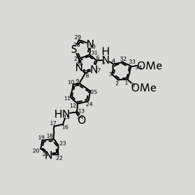 COc1ccc(Nc2nc(-c3ccc(C(=O)NCCc4ccncc4)cc3)nc3scnc23)cc1OC